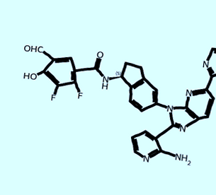 Nc1ncccc1-c1nc2ccc(-c3nccs3)nc2n1-c1ccc2c(c1)CC[C@@H]2NC(=O)c1cc(C=O)c(O)c(F)c1F